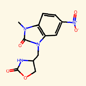 Cn1c(=O)n(CC2COC(=O)N2)c2cc([N+](=O)[O-])ccc21